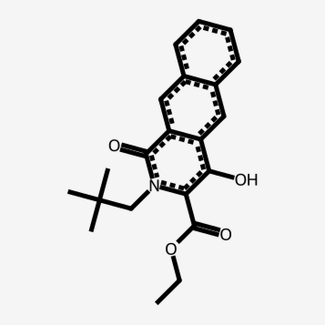 CCOC(=O)c1c(O)c2cc3ccccc3cc2c(=O)n1CC(C)(C)C